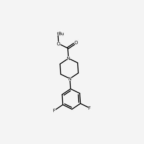 CC(C)(C)OC(=O)N1CCN(c2cc(F)cc(F)c2)CC1